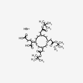 Br.CC(C)(C)OC(=O)CN1CCN(CC(=O)OC(C)(C)C)CCN(C(CCC(=O)O)C(=O)O)CCN(CC(=O)OC(C)(C)C)CC1